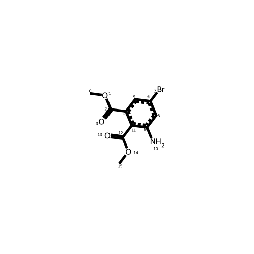 COC(=O)c1cc(Br)cc(N)c1C(=O)OC